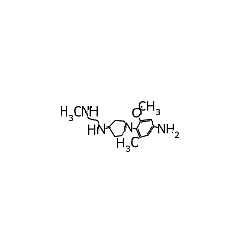 CNCCNC1CCN(c2c(C)cc(N)cc2OC)CC1